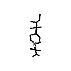 CCC(C)C(C)(C)C1CCN(C(C)(C)C(C)C)CC1